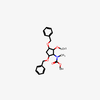 CCCCCCCCOC1C(OCc2ccccc2)CC(OCc2ccccc2)C1N(C)C(=O)OC(C)(C)C